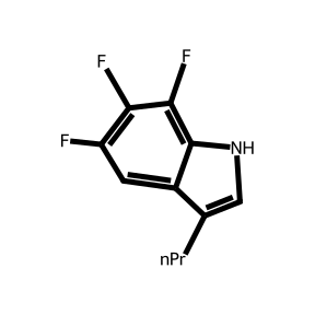 CCCc1c[nH]c2c(F)c(F)c(F)cc12